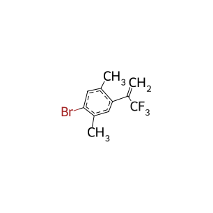 C=C(c1cc(C)c(Br)cc1C)C(F)(F)F